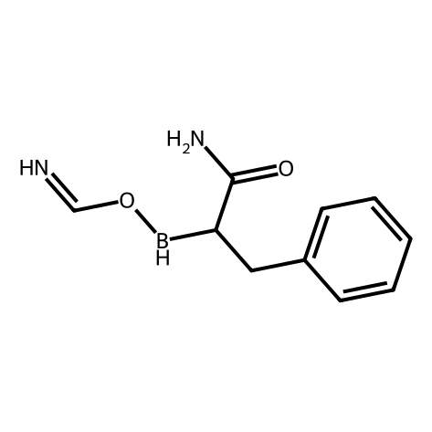 N=COBC(Cc1ccccc1)C(N)=O